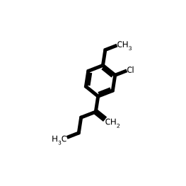 C=C(CCC)c1ccc(CC)c(Cl)c1